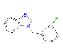 Fc1cccc(Cn2cnc3ccccc32)c1